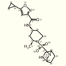 C[C@H]1C[C@@H](NC(=O)c2cc(C3CC3)on2)CCN1S(=O)(=O)N1CC2CCC1CN2